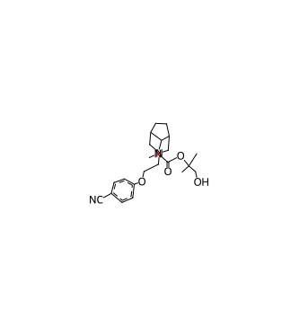 CN(C(=O)OC(C)(C)CO)C1C2CCC1CN(CCOc1ccc(C#N)cc1)C2